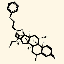 C[C@]12C[C@H](O)[C@@]3(F)[C@@H](C[C@H](F)C4=CC(=O)C=C[C@@]43C)[C@]1(C)C[C@H]1CN(CCSc3ccccc3)O[C@]12C(=O)SCF